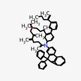 C=CCCC(=C)C(=C)CCC(=C)N(c1ccc2c(c1)C(c1ccccc1)(c1ccccc1)C1C3=C2C=CC=CC31)C1C=CC(c2cccc(/C(=C/C)CCC)c2)=C(C(=C)CCC=C)C1